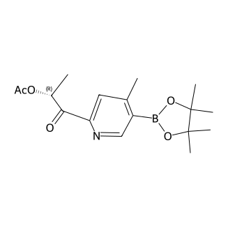 CC(=O)O[C@H](C)C(=O)c1cc(C)c(B2OC(C)(C)C(C)(C)O2)cn1